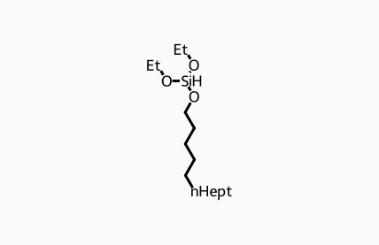 CCCCCCCCCCCCO[SiH](OCC)OCC